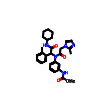 COC(=O)Nc1cccc(N(C(=O)Cn2ccnc2C)C(C(=O)NC2CCCCC2)c2ccccc2C)c1